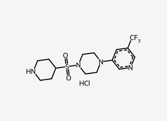 Cl.O=S(=O)(C1CCNCC1)N1CCN(c2cncc(C(F)(F)F)c2)CC1